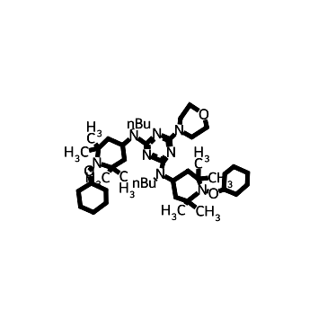 CCCCN(c1nc(N2CCOCC2)nc(N(CCCC)C2CC(C)(C)N(OC3CCCCC3)C(C)(C)C2)n1)C1CC(C)(C)N(OC2CCCCC2)C(C)(C)C1